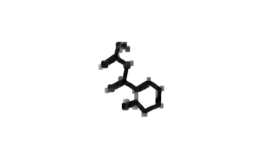 CC(=O)OC(=O)C1=CC=CCC1=O